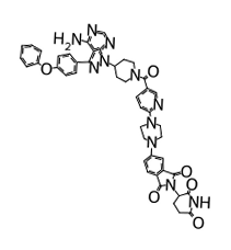 Nc1ncnc2c1c(-c1ccc(Oc3ccccc3)cc1)nn2C1CCN(C(=O)c2ccc(N3CCN(c4ccc5c(c4)C(=O)N(C4CCC(=O)NC4=O)C5=O)CC3)nc2)CC1